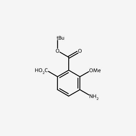 COc1c(N)ccc(C(=O)O)c1C(=O)OC(C)(C)C